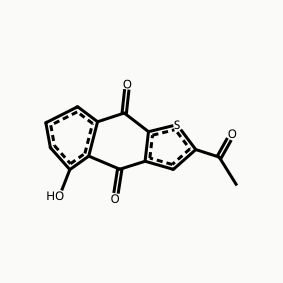 CC(=O)c1cc2c(s1)C(=O)c1cccc(O)c1C2=O